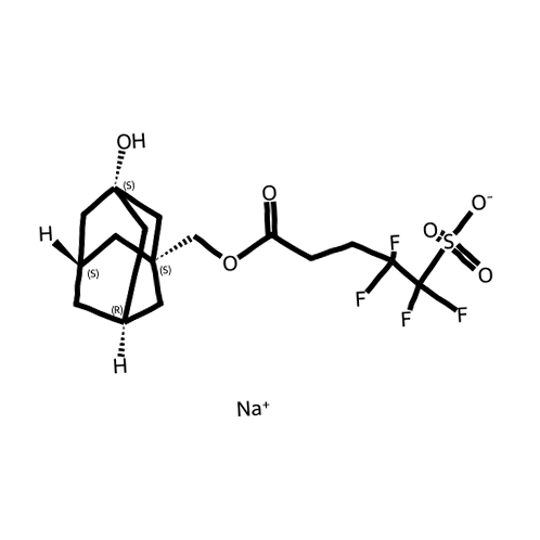 O=C(CCC(F)(F)C(F)(F)S(=O)(=O)[O-])OC[C@]12C[C@@H]3C[C@@H](C[C@@](O)(C3)C1)C2.[Na+]